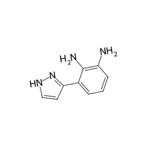 Nc1cccc(-c2cc[nH]n2)c1N